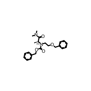 C[C@@H](C(=O)N(C)C)N(CCOCc1ccccc1)C(=O)OCc1ccccc1